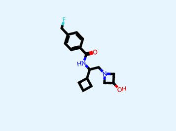 O=C(NC(CN1CC(O)C1)C1CCC1)c1ccc(CF)cc1